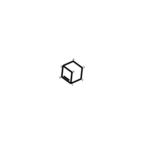 C1=C2CCCC1C2